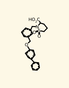 O=C(O)C1CCCS(=O)(=O)N1Cc1cccc(COc2ccc(-c3ccccc3)cc2)c1